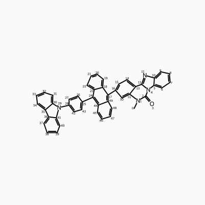 Cn1c(=O)n2c3ccccc3nc2c2ccc(-c3c4ccccc4c(-c4ccc(-n5c6ccccc6c6ccccc65)cc4)c4ccccc34)cc21